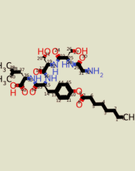 CCCCCCCC(=O)Oc1ccc(C[C@H](NC(=O)[C@H](CO)NC(=O)[C@H](CO)NC(=O)CN)C(=O)N[C@@H](CC(C)C)C(=O)O)cc1